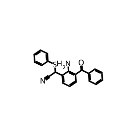 N#CC(Sc1ccccc1)c1cccc(C(=O)c2ccccc2)c1N